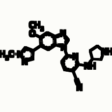 COc1cc2ncn(-c3ccc(C#N)c(NC4CCNC4)n3)c2cc1-c1cnn(C)c1